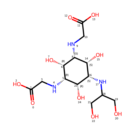 O=C(O)CN[C@@H]1[C@H](O)[C@H](NCC(=O)O)[C@H](O)[C@H](NC(CO)CO)[C@@H]1O